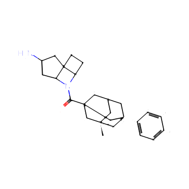 C[C@]12CC3CC(C(=O)N4C5CCC56CC(N)CC46)(C1)C[C@@](c1ccccc1)(C3)C2